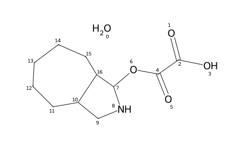 O.O=C(O)C(=O)OC1NCC2CCCCCC21